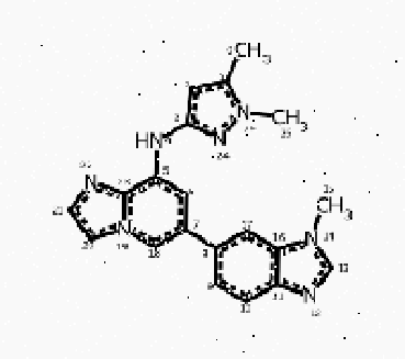 Cc1cc(Nc2cc(-c3ccc4ncn(C)c4c3)cn3ccnc23)nn1C